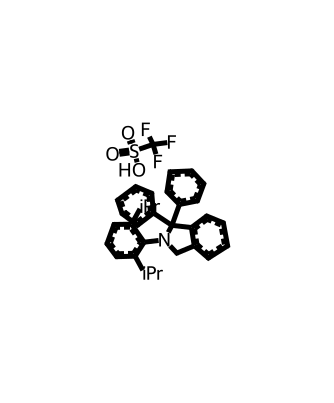 CC(C)c1cccc(C(C)C)c1N1Cc2ccccc2C1(c1ccccc1)c1ccccc1.O=S(=O)(O)C(F)(F)F